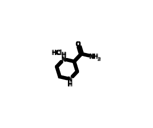 Cl.NC(=O)C1CNCCN1